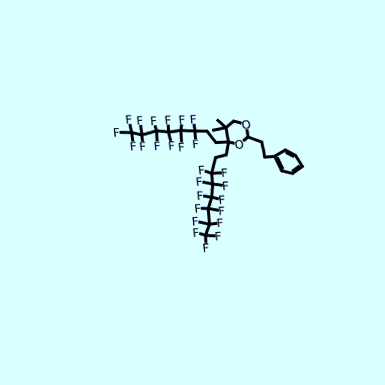 CC1(C)COC(CCc2ccccc2)OC1(CCC(F)(F)C(F)(F)C(F)(F)C(F)(F)C(F)(F)C(F)(F)F)CCC(F)(F)C(F)(F)C(F)(F)C(F)(F)C(F)(F)C(F)(F)F